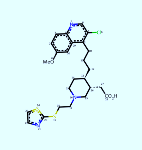 COc1ccc2ncc(Cl)c(CCC[C@@H]3CCN(CCSc4nccs4)C[C@H]3CC(=O)O)c2c1